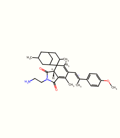 COc1ccc(/C(C)=C/C2=C(C)C3(C(C)CC4CC(C)CC3C4)[C@H]3C(=O)N(CCN)C(=O)C3=C2C)cc1